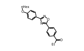 CCCCCCOc1ccc(-c2noc(-c3ccc(C(=O)CC)cc3)n2)cc1